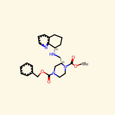 CC(C)(C)OC(=O)N1CCN(C(=O)OCc2ccccc2)C[C@@H]1CN[C@H]1CCCc2cccnc21